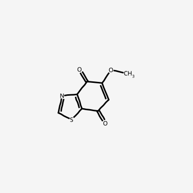 COC1=CC(=O)c2scnc2C1=O